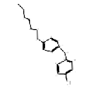 CCCCCCCc1ccc(Cc2ccc(O)cc2)cc1